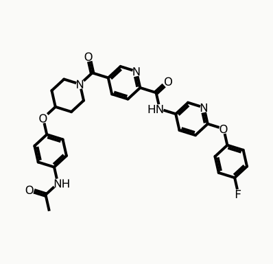 CC(=O)Nc1ccc(OC2CCN(C(=O)c3ccc(C(=O)Nc4ccc(Oc5ccc(F)cc5)nc4)nc3)CC2)cc1